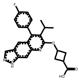 CC(C)c1c(OC2CC(C(=O)O)C2)nc2cc3[nH]ncc3cc2c1-c1ccc(F)cc1